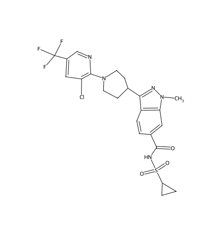 Cn1nc(C2CCN(c3ncc(C(F)(F)F)cc3Cl)CC2)c2ccc(C(=O)NS(=O)(=O)C3CC3)cc21